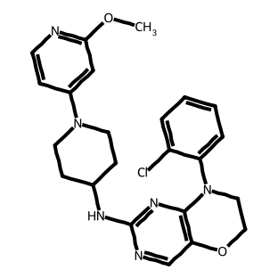 COc1cc(N2CCC(Nc3ncc4c(n3)N(c3ccccc3Cl)CCO4)CC2)ccn1